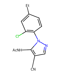 CCc1ccc(-n2ncc(C#N)c2NC(C)=O)c(Cl)c1